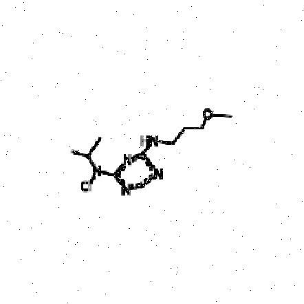 COCCCNc1ncnc(N(Cl)C(C)C)n1